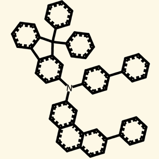 c1ccc(-c2ccc(N(c3ccc4c(c3)C(c3ccccc3)(c3ccccc3)c3ccccc3-4)c3ccc4ccc5ccc(-c6ccccc6)cc5c4c3)cc2)cc1